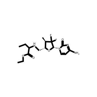 CCOC(=O)C(CC)NC[C@H]1O[C@@H](n2ccc(N)nc2=O)C(F)(F)[C@@H]1C